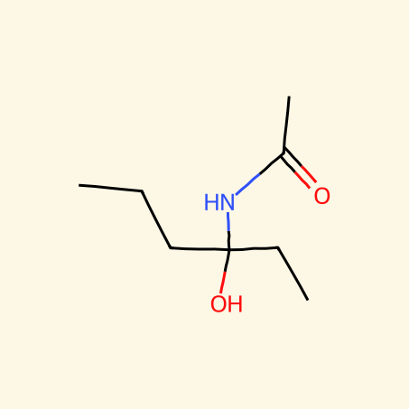 CCCC(O)(CC)NC(C)=O